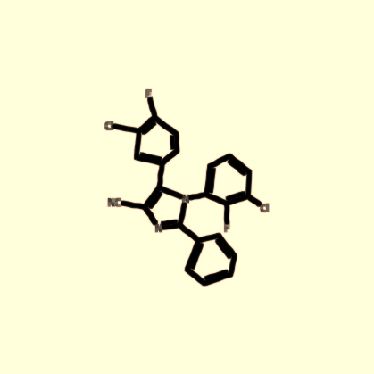 N#Cc1nc(-c2ccccc2)n(-c2cccc(Cl)c2F)c1-c1ccc(F)c(Cl)c1